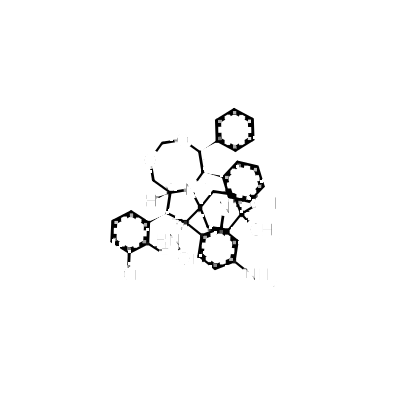 CC1(C)CCC2(CC1)N1[C@H](c3ccccc3)[C@H](c3ccccc3)OCOC[C@H]1[C@H](c1cccc(Cl)c1F)[C@]2(NO)c1ccc(N)cc1N